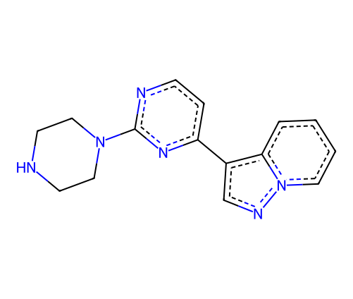 c1ccn2ncc(-c3ccnc(N4CCNCC4)n3)c2c1